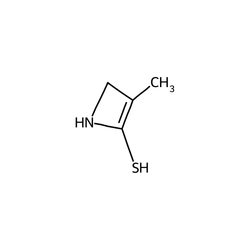 CC1=C(S)NC1